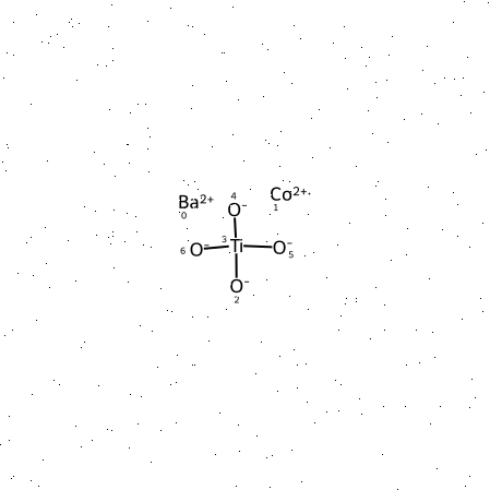 [Ba+2].[Co+2].[O-][Ti]([O-])([O-])[O-]